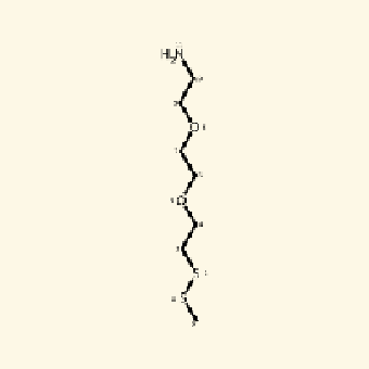 CSSCCOCCOCCN